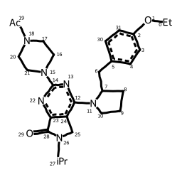 CCOc1ccc(CC2CCCN2c2nc(N3CCN(C(C)=O)CC3)nc3c2CN(C(C)C)C3=O)cc1